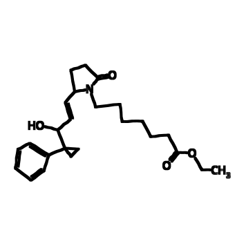 CCOC(=O)CCCCCCN1C(=O)CCC1/C=C/C(O)C1(c2ccccc2)CC1